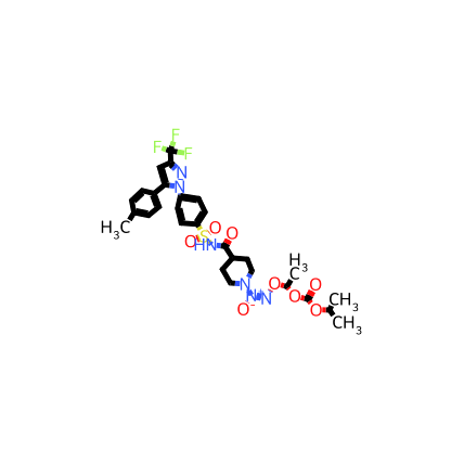 Cc1ccc(-c2cc(C(F)(F)F)nn2-c2ccc(S(=O)(=O)NC(=O)C3CCN(/[N+]([O-])=N\OC(C)OC(=O)OC(C)C)CC3)cc2)cc1